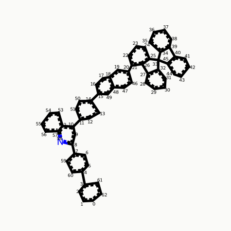 c1ccc(-c2ccc(-c3cc(-c4ccc(-c5ccc6cc(-c7cccc8c7-c7ccccc7C87c8ccccc8-c8ccccc87)ccc6c5)cc4)c4ccccc4n3)cc2)cc1